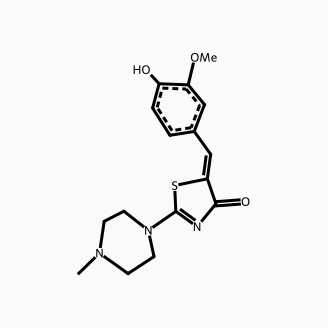 COc1cc(/C=C2\SC(N3CCN(C)CC3)=NC2=O)ccc1O